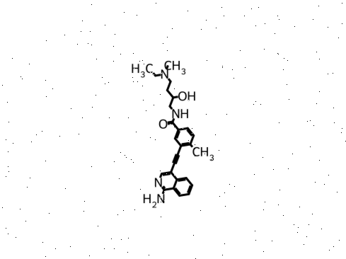 CCN(C)CCC(O)CNC(=O)c1ccc(C)c(C#Cc2cnc(N)c3ccccc23)c1